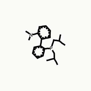 CC(C)CP(CC(C)C)c1ccccc1-c1ccccc1N(C)C